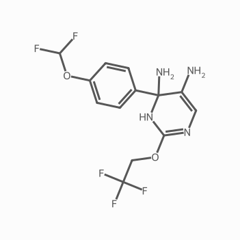 NC1=CN=C(OCC(F)(F)F)NC1(N)c1ccc(OC(F)F)cc1